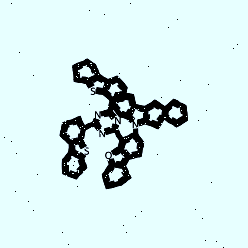 c1ccc2cc3c(cc2c1)c1ccccc1n3-c1ccc2c(oc3ccccc32)c1-c1nc(-c2cccc3c2sc2ccccc23)nc(-c2cccc3c2sc2ccccc23)n1